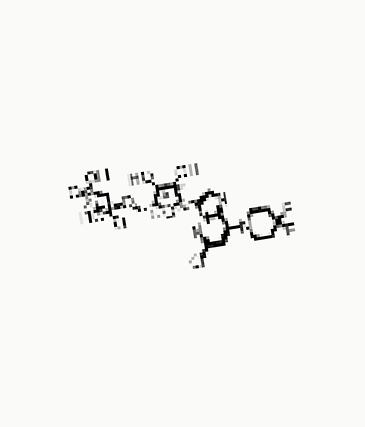 O=P(O)(O)CP(=O)(O)OC[C@H]1O[C@@H](c2cnc3c(N4CCC(F)(F)CC4)cc(Cl)nn23)[C@H](O)[C@@H]1O